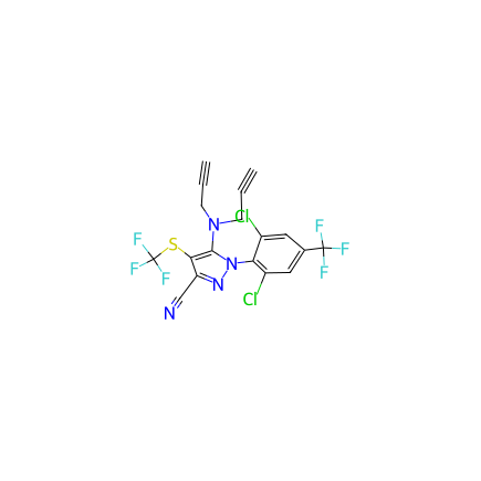 C#CCN(CC#C)c1c(SC(F)(F)F)c(C#N)nn1-c1c(Cl)cc(C(F)(F)F)cc1Cl